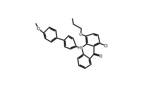 CCCOc1ccc(Cl)c2c1[SH](c1ccc(-c3ccc(OC)cc3)cc1)c1ccccc1C2=O